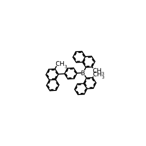 Cc1ccc2ccccc2c1B(c1ccc(-c2c(C)ccc3ccccc23)cc1)c1c(C)ccc2ccccc12